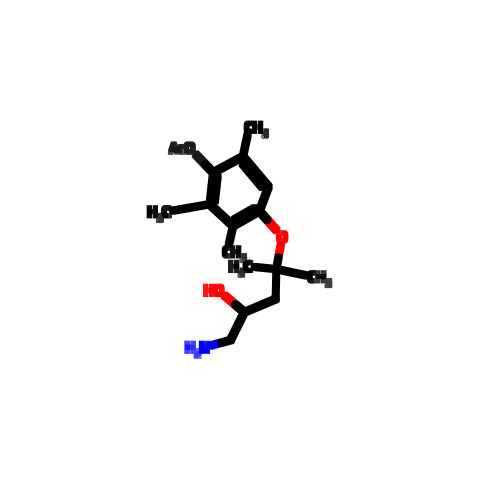 CC(=O)Oc1c(C)cc(OC(C)(C)CC(O)CN)c(C)c1C